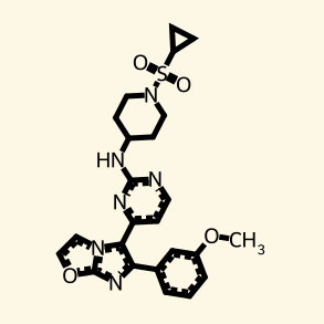 COc1cccc(-c2nc3occn3c2-c2ccnc(NC3CCN(S(=O)(=O)C4CC4)CC3)n2)c1